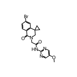 COc1cnc(NC(=O)CN2CC3(CC3)c3cc(Br)ccc3C2=O)nc1